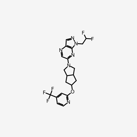 FC(F)Cn1ncc2ncc(N3CC4CC(Oc5cc(C(F)(F)F)ccn5)CC4C3)nc21